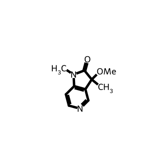 COC1(C)C(=O)N(C)c2ccncc21